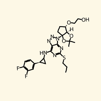 CCCSc1nc(NC2C[C@H]2c2ccc(F)c(F)c2)c2nnn([C@@]34CC[C@H](OCCO)[C@H]3OC(C)(C)O4)c2n1